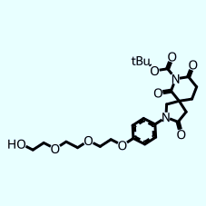 CC(C)(C)OC(=O)N1C(=O)CCC2(CC(=O)N(c3ccc(OCCOCCOCCO)cc3)C2)C1=O